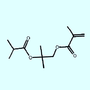 C=C(C)C(=O)OCC(C)(C)OC(=O)C(C)C